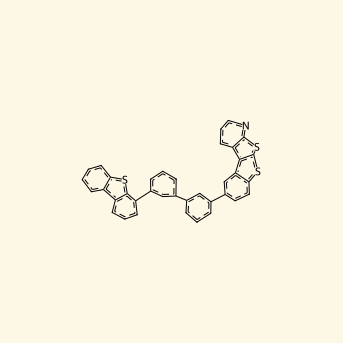 c1cc(-c2cccc(-c3cccc4c3sc3ccccc34)c2)cc(-c2ccc3sc4sc5ncccc5c4c3c2)c1